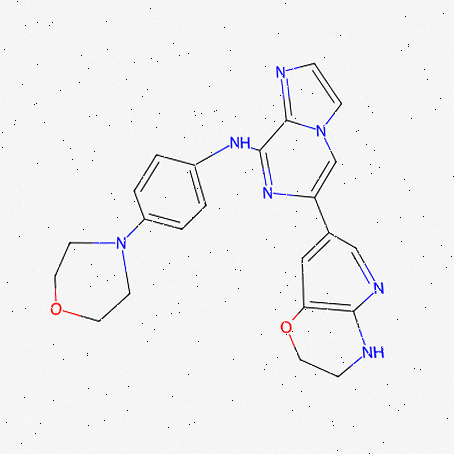 c1cn2cc(-c3cnc4c(c3)OCCN4)nc(Nc3ccc(N4CCOCC4)cc3)c2n1